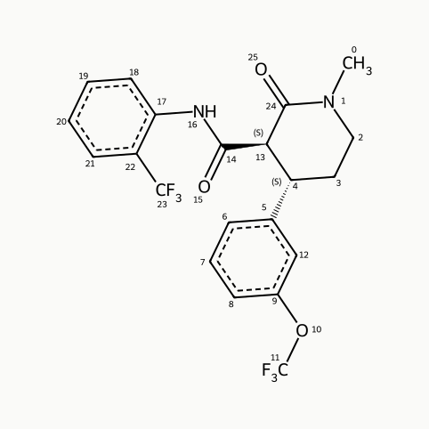 CN1CC[C@H](c2cccc(OC(F)(F)F)c2)[C@@H](C(=O)Nc2ccccc2C(F)(F)F)C1=O